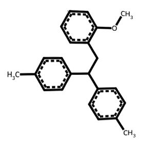 COc1c[c]ccc1CC(c1ccc(C)cc1)c1ccc(C)cc1